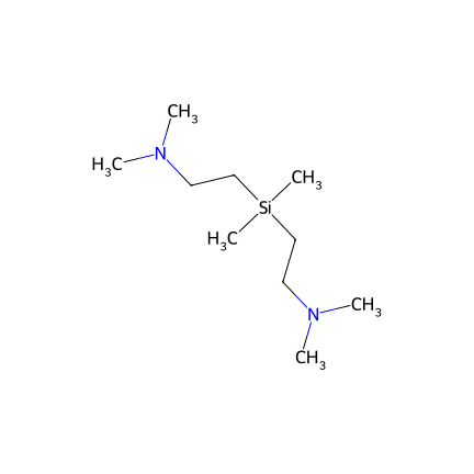 CN(C)CC[Si](C)(C)CCN(C)C